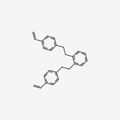 C=Cc1ccc(CCc2ccccc2CCc2ccc(C=C)cc2)cc1